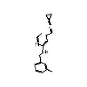 C/C=N\C(=C/CC=C=C1CC1)NCc1cccc(C)c1